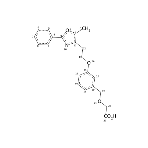 Cc1oc(-c2ccccc2)nc1CCOc1cccc(COCC(=O)O)c1